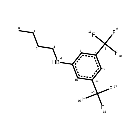 CCCCBc1cc(C(F)(F)F)cc(C(F)(F)F)c1